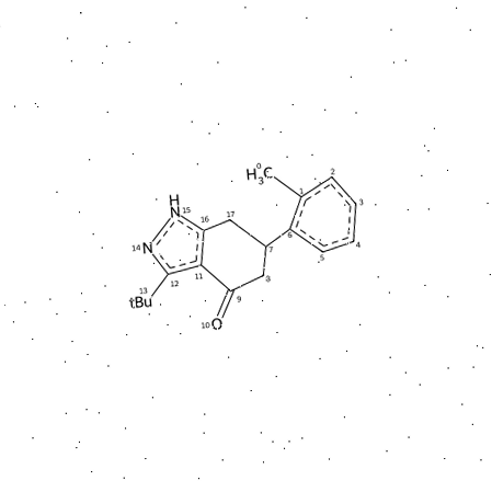 Cc1ccccc1C1CC(=O)c2c(C(C)(C)C)n[nH]c2C1